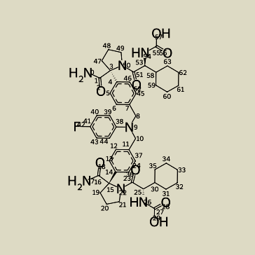 NC(=O)[C@@]1(c2ccc(CN(Cc3ccc([C@]4(C(N)=O)CCCN4C(=O)[C@@H](NC(=O)O)C4CCCCC4)cc3)c3ccc(F)cc3)cc2)CCCN1C(=O)[C@@H](NC(=O)O)C1CCCCC1